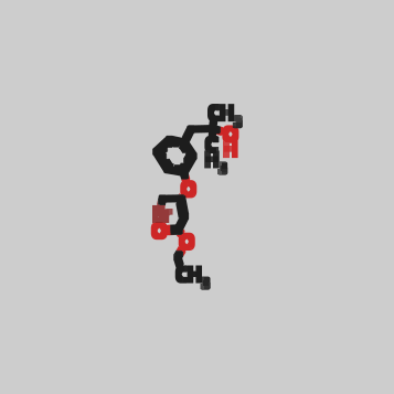 CCOC(=O)C=C(CBr)Oc1cccc(CC(C)(C)O)c1